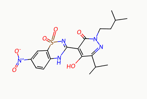 CC(C)CCn1nc(C(C)C)c(O)c(C2=NS(=O)(=O)c3cc([N+](=O)[O-])ccc3N2)c1=O